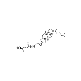 CC(C)CCCC(C)[C@H]1CC[C@H]2[C@@H]3CC=C4C[C@@H](OCCCNC(=O)CCC(=O)O)CC[C@]4(C)[C@H]3CC[C@]12C